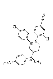 [C-]#[N+]c1ccc([C@H](C)N2CCN(c3ccc(C#N)cc3Cl)[C@H](c3ccc(Cl)cc3)C2)cc1